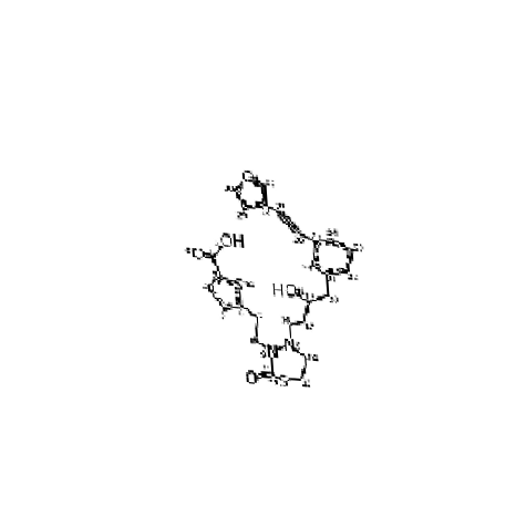 O=C(O)c1ccc(CCN2C(=O)SCCN2CCC(O)Cc2cccc(C#Cc3ccoc3)c2)s1